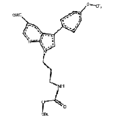 CC(C)(C)OC(=O)NCCCn1cc(-c2ccc(OC(F)(F)F)cc2)c2cc(C=O)cnc21